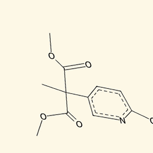 COC(=O)C(C)(C(=O)OC)c1ccc(OC)nc1